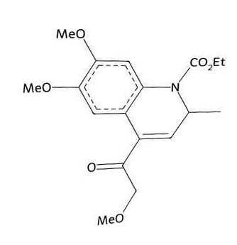 CCOC(=O)N1c2cc(OC)c(OC)cc2C(C(=O)COC)=CC1C